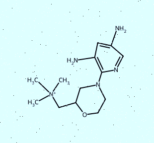 C[N+](C)(C)CC1CN(c2ncc(N)cc2N)CCO1